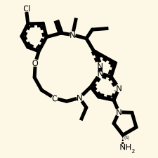 C=C1c2cc(Cl)ccc2OCCCCN(CC)c2cc(N3CC[C@H](N)C3)nc3cc(nn23)C(CC)N1C